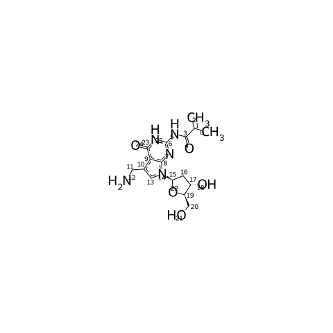 CC(C)C(=O)Nc1nc2c(c(CN)cn2[C@H]2C[C@H](O)[C@@H](CO)O2)c(=O)[nH]1